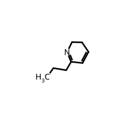 CCCC1=NCCC=C1